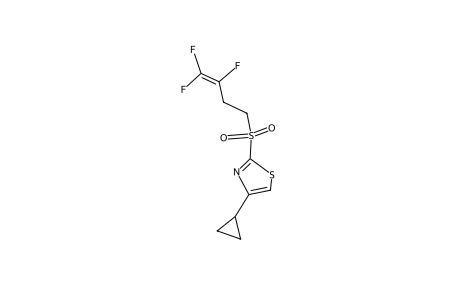 O=S(=O)(CCC(F)=C(F)F)c1nc(C2CC2)cs1